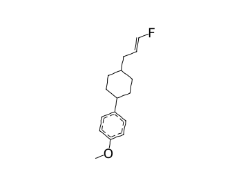 COc1ccc(C2CCC(CC=CF)CC2)cc1